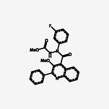 COC(=O)NN(C(=O)c1c(OC)c(-c2ccccc2)nc2ccccc12)c1cccc(F)c1